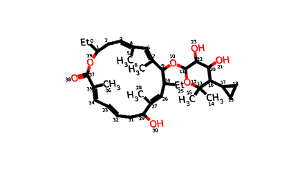 CCC1C/C=C(C)/C=C(\C)C(OC2OC(C)(C)C(C3CC3)C(O)C2O)C(CC)/C=C(\C)C(O)C/C=C/C=C(\C)C(=O)O1